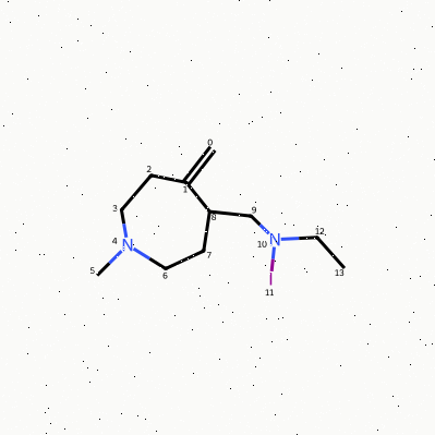 C=C1CCN(C)CCC1CN(I)CC